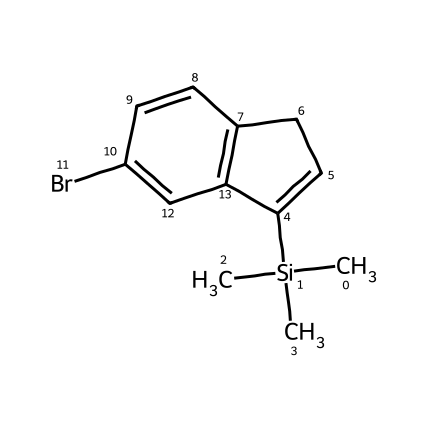 C[Si](C)(C)C1=CCc2ccc(Br)cc21